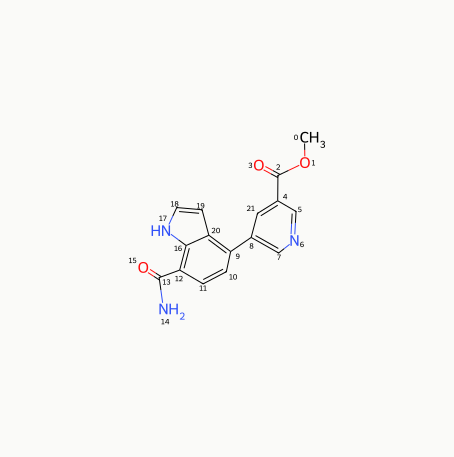 COC(=O)c1cncc(-c2ccc(C(N)=O)c3[nH]ccc23)c1